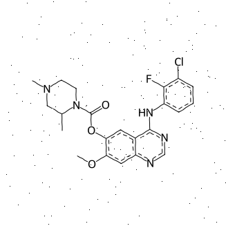 COc1cc2ncnc(Nc3cccc(Cl)c3F)c2cc1OC(=O)N1CCN(C)CC1C